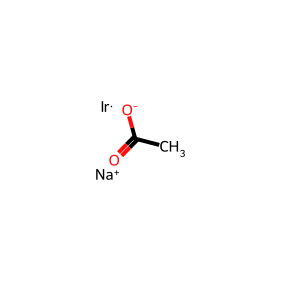 CC(=O)[O-].[Ir].[Na+]